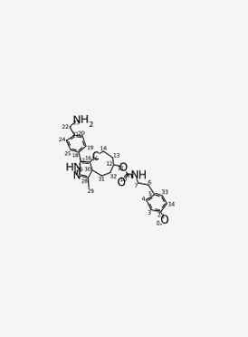 COc1ccc(CCNC(=O)OC2CCCC3=C(c4ccc(CN)cc4)NN=C(C)C3CC2)cc1